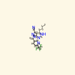 CCCCC1NC=Nc2c1c(C#N)nn2C(C)c1ccc(C(F)(F)F)nc1